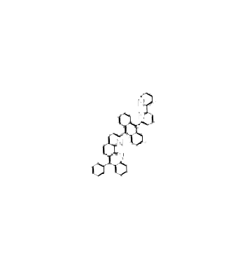 c1ccc(-c2c3ccccc3nc3c2ccc2ccc(-c4c5ccccc5c(-c5cccc(-c6ccccn6)n5)c5ccccc45)nc23)cc1